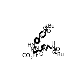 CCOC(=O)c1cnc(Nc2ccc(N3CCN(C(=O)OC(C)(C)C)CC3)cc2)nc1C(=O)c1ccn(CCNC(=O)OC(C)(C)C)n1